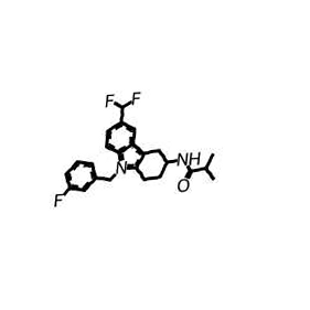 CC(C)C(=O)NC1CCc2c(c3cc(C(F)F)ccc3n2Cc2cccc(F)c2)C1